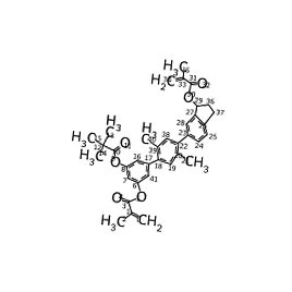 C=C(C)C(=O)Oc1cc(OC(=O)C(C)(C)C)cc(-c2cc(C)c(-c3ccc4c(c3)C(OC(=O)C(=C)C)CC4)cc2C)c1